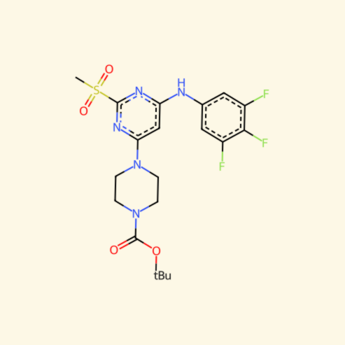 CC(C)(C)OC(=O)N1CCN(c2cc(Nc3cc(F)c(F)c(F)c3)nc(S(C)(=O)=O)n2)CC1